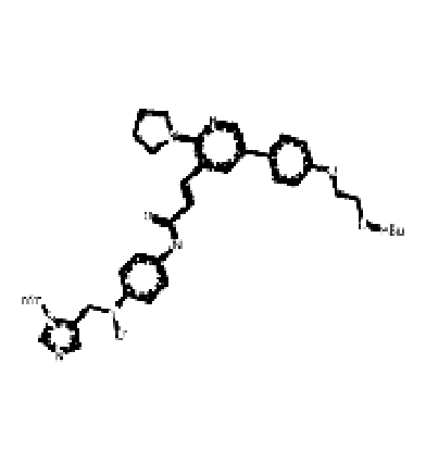 CCCCOCCOc1ccc(-c2cnc(N3CCCC3)c(C=CC(=O)Nc3ccc([S@@+]([O-])Cc4cncn4CCC)cc3)c2)cc1